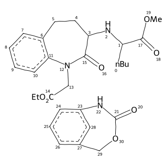 CCCCC(NC1CCc2ccccc2N(CC(=O)OCC)C1=O)C(=O)OC.O=C1Nc2cccc(c2)CO1